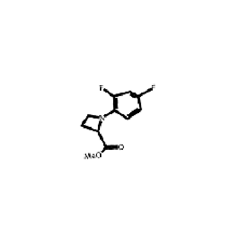 COC(=O)C1CCN1c1ccc(F)cc1F